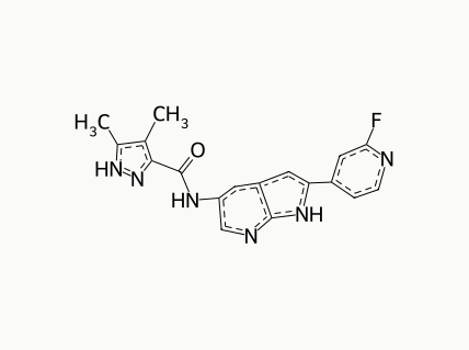 Cc1[nH]nc(C(=O)Nc2cnc3[nH]c(-c4ccnc(F)c4)cc3c2)c1C